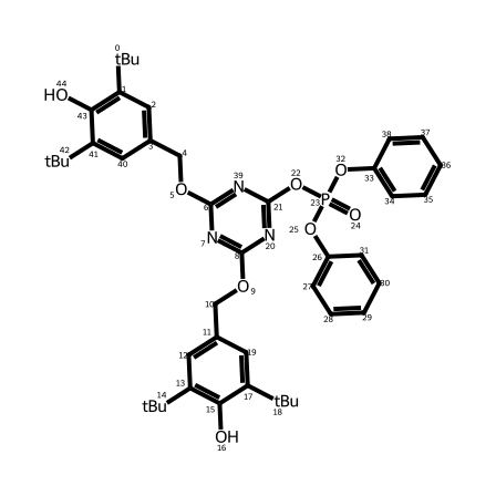 CC(C)(C)c1cc(COc2nc(OCc3cc(C(C)(C)C)c(O)c(C(C)(C)C)c3)nc(OP(=O)(Oc3ccccc3)Oc3ccccc3)n2)cc(C(C)(C)C)c1O